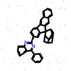 c1ccc(-c2nc(-c3ccc4c(c3)C3(c5cc6ccccc6cc5-4)C4CC5CC(C4)CC3C5)nc3ccccc23)cc1